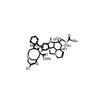 CCC1=C[C@@H]2CN(CCc3c([nH]c4ccccc34)[C@@](C(=O)OC)(c3cc4c(cc3OC)N(C)[C@H]3C(O)(COC(=O)C(C)(C)C)[C@H](OC(C)=O)[C@]5(CC)C=CCN6CC[C@]43C65)C2)C1